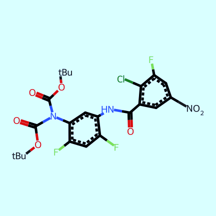 CC(C)(C)OC(=O)N(C(=O)OC(C)(C)C)c1cc(NC(=O)c2cc([N+](=O)[O-])cc(F)c2Cl)c(F)cc1F